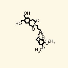 COc1cc2c(cc1OC)[C@@H](CN(C)CCCN1C(=O)Cc3cc(CO)c(CO)cc3CC1=O)C2